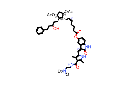 CCN(CC)CCNC(=O)c1c(C)[nH]c(/C=C2\C(=O)Nc3ccc(OC(=O)CCC/C=C\C[C@@H]4[C@@H](CC[C@@H](O)CCc5ccccc5)[C@H](OC(C)=O)C[C@@H]4OC(C)=O)cc32)c1C